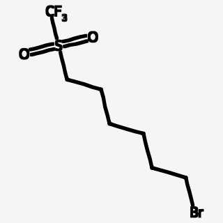 O=S(=O)(CCCCCCBr)C(F)(F)F